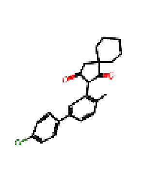 Cc1ccc(-c2ccc(Cl)cc2)cc1C1C(=O)CC2(CCCCC2)C1=O